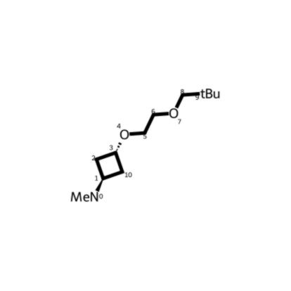 CN[C@H]1C[C@H](OCCOCC(C)(C)C)C1